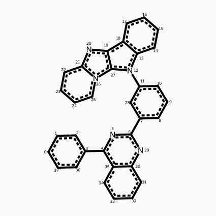 c1ccc(-c2nc(-c3cccc(-n4c5ccccc5c5nc6ccccn6c54)c3)nc3ccccc23)cc1